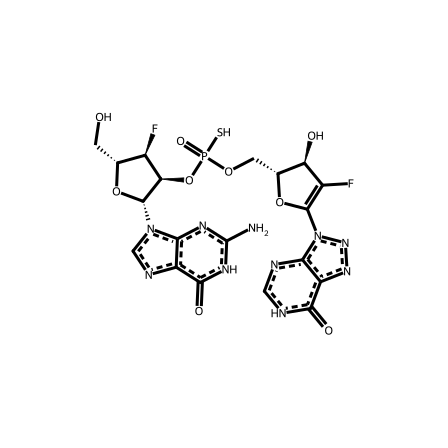 Nc1nc2c(ncn2[C@@H]2O[C@H](CO)[C@@H](F)[C@H]2OP(=O)(S)OC[C@H]2OC(n3nnc4c(=O)[nH]cnc43)=C(F)[C@@H]2O)c(=O)[nH]1